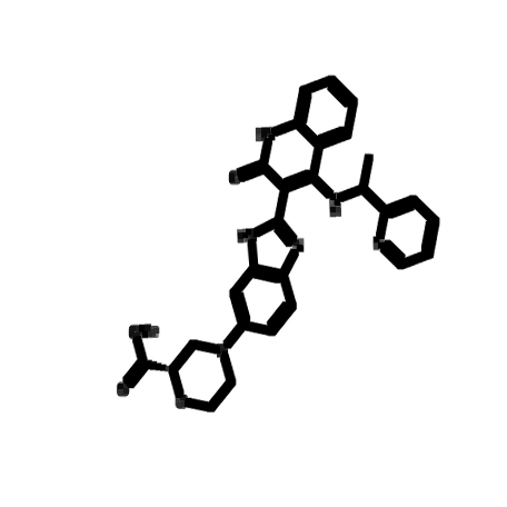 COC(=O)[C@@H]1CN(c2ccc3nc(-c4c(NC(C)c5ccccn5)c5ccccc5[nH]c4=O)[nH]c3c2)CCO1